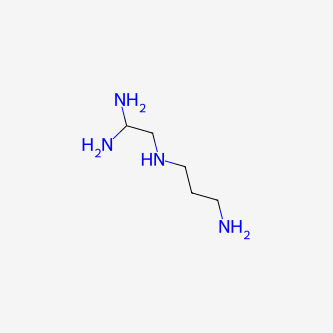 NCCCNCC(N)N